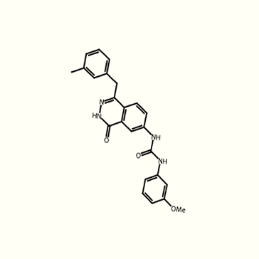 COc1cccc(NC(=O)Nc2ccc3c(Cc4cccc(C)c4)n[nH]c(=O)c3c2)c1